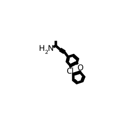 CC(N)C#Cc1ccc(Oc2ccccc2)c(Cl)c1